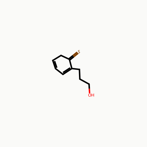 OCCCC1=CC=CCC1=S